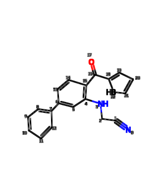 N#CCNc1cc(-c2ccccc2)ccc1C(=O)C1=CC=CB1